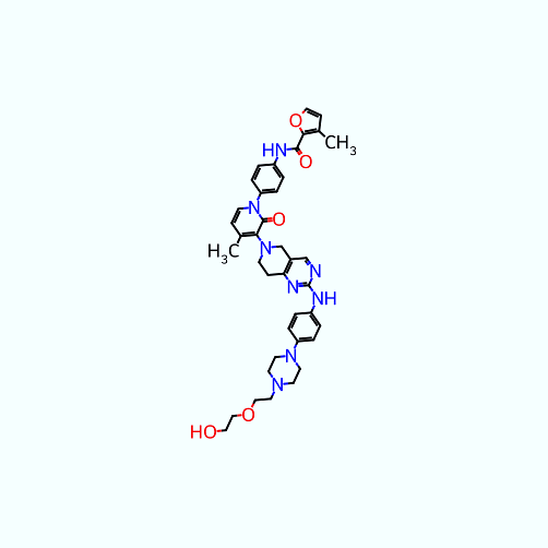 Cc1ccoc1C(=O)Nc1ccc(-n2ccc(C)c(N3CCc4nc(Nc5ccc(N6CCN(CCOCCO)CC6)cc5)ncc4C3)c2=O)cc1